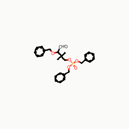 CC(C)(COP(=O)(OCc1ccccc1)OCc1ccccc1)C(C=O)OCc1ccccc1